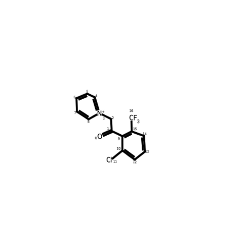 O=C(C[n+]1ccccc1)c1c(Cl)cccc1C(F)(F)F